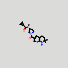 CN(C(=O)C1CC1)[C@H]1CCN(C(=O)c2cnc3c(c2)CCC(C)(C)N3)C1